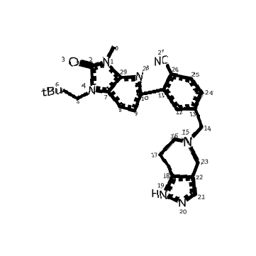 Cn1c(=O)n(CC(C)(C)C)c2ccc(-c3cc(CN4CCc5[nH]ncc5C4)ccc3C#N)nc21